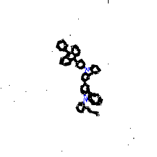 CCCCc1ccccc1-n1c2ccccc2c2cc(-c3ccc4c(c3)c3ccccc3n4-c3ccc(-c4c5ccccc5c(-c5ccccc5)c5ccccc45)cc3)ccc21